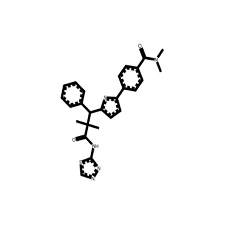 CN(C)C(=O)c1ccc(-c2ccc(C(c3ccccc3)C(C)(C)C(=O)Nc3nncs3)s2)cc1